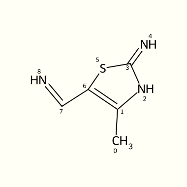 Cc1[nH]c(=N)sc1C=N